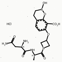 C[C@@H](NC(=O)[C@H](N)CC(N)=O)C(=O)N1CC(Oc2ccc3c(c2C(=O)O)OB(O)CC3)C1.Cl